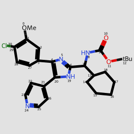 COc1cc(-c2nc(C(NC(=O)OC(C)(C)C)C3CCCCC3)[nH]c2-c2ccncc2)ccc1Cl